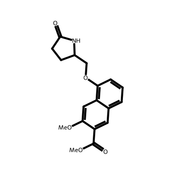 COC(=O)c1cc2cccc(OCC3CCC(=O)N3)c2cc1OC